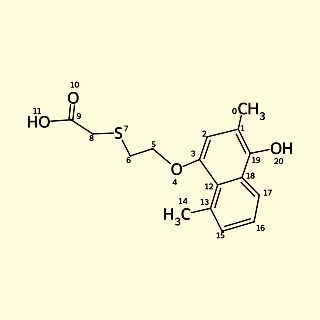 Cc1cc(OCCSCC(=O)O)c2c(C)cccc2c1O